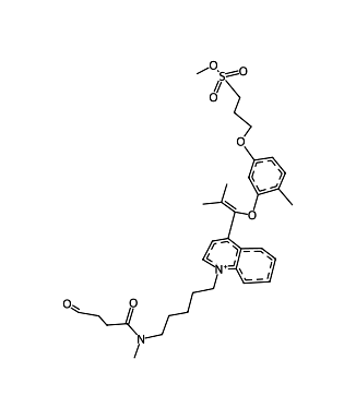 COS(=O)(=O)CCCOc1ccc(C)c(OC(=C(C)C)c2cc[n+](CCCCCN(C)C(=O)CCC=O)c3ccccc23)c1